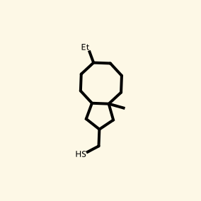 CCC1CCCC2(C)CC(CS)CC2CC1